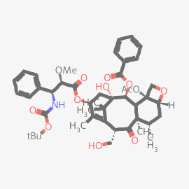 CO[C@@H](C(=O)O[C@H]1C[C@@]2(O)[C@@H](OC(=O)c3ccccc3)C3[C@](C)(C(=O)[C@H](CO)C(=C1C)C2(C)C)[C@@H](C)C[C@H]1OC[C@@]31OC(C)=O)[C@@H](NC(=O)OC(C)(C)C)c1ccccc1